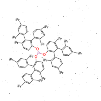 CC(C)c1ccc(-c2c(OP(Oc3ccc(C(C)C)c(-c4ccc(C(C)C)cc4C(C)C)c3-c3ccc(C(C)C)cc3C(C)C)Oc3ccc(C(C)C)c(-c4ccc(C(C)C)cc4C(C)C)c3-c3ccc(C(C)C)cc3C(C)C)ccc(C(C)C)c2-c2ccc(C(C)C)cc2C(C)C)c(C(C)C)c1